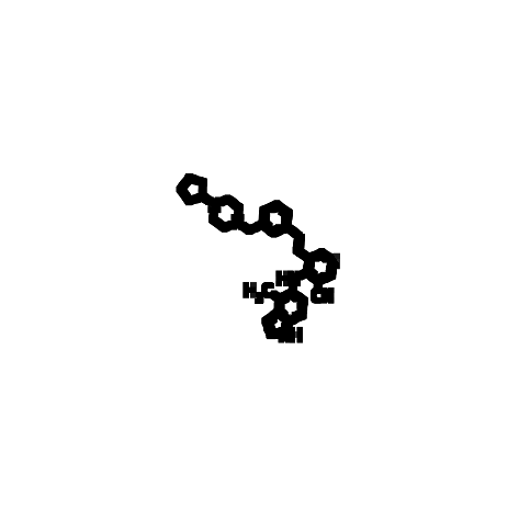 Cc1c(Nc2c(C#N)cncc2C=Cc2cccc(CN3CCN(C4CCCC4)CC3)c2)ccc2[nH]ccc12